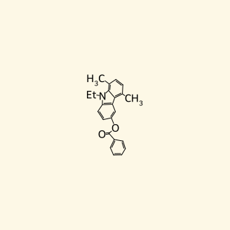 CCn1c2ccc(OC(=O)c3ccccc3)cc2c2c(C)ccc(C)c21